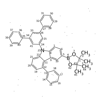 CC1(C)OB(c2ccc3c(c2)c2c(-c4ccccc4)cccc2n3-c2cc(-c3ccccc3)cc(-c3ccccc3)c2)OC1(C)C